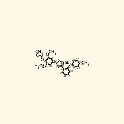 COCOc1c(OC)cc([C@H]2COC(c3ccccc3[S+]([O-])c3ccc(C)cc3)=N2)cc1OC